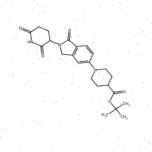 CC(C)(C)OC(=O)C1CCN(c2ccc3c(c2)CN(C2CCC(=O)NC2=O)C3=O)CC1